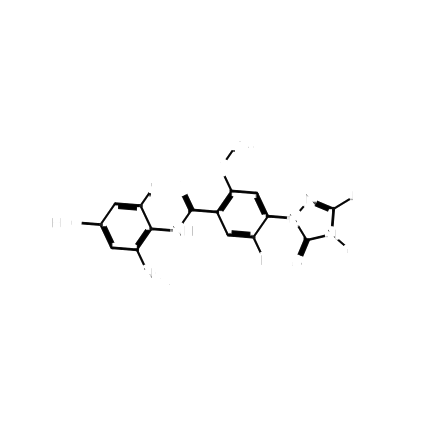 CCCC(C)Oc1cc(-n2nc(CC)n(C)c2=O)c(F)cc1C(=O)Nc1c(C)cc(C)cc1[N+](=O)[O-]